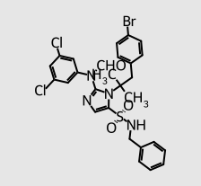 CC(C)(Cc1ccc(Br)cc1)n1c(S(=O)(=O)NCc2ccccc2)cnc1N(C=O)c1cc(Cl)cc(Cl)c1